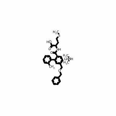 CNC.CSCCC(NC(=O)c1ccc(COCc2ccccc2)cc1-c1ccccc1C)C(=O)O.[LiH]